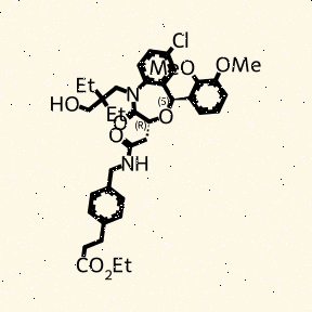 CCOC(=O)CCc1ccc(CNC(=O)C[C@H]2O[C@H](c3cccc(OC)c3OC)c3cc(Cl)ccc3N(CC(CC)(CC)CO)C2=O)cc1